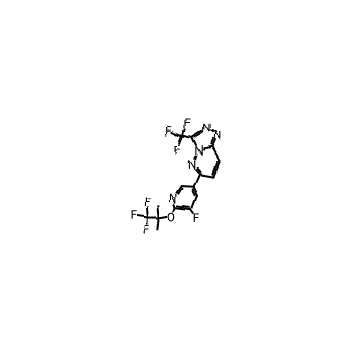 CC(C)(Oc1ncc(-c2ccc3nnc(C(F)(F)F)n3n2)cc1F)C(F)(F)F